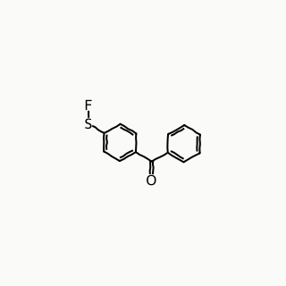 O=C(c1ccccc1)c1ccc(SF)cc1